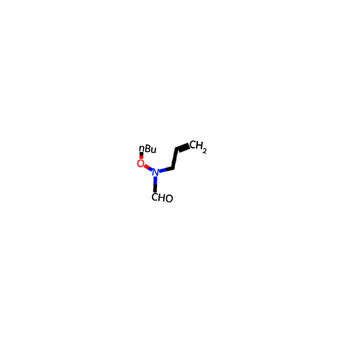 C=CCN(C=O)OCCCC